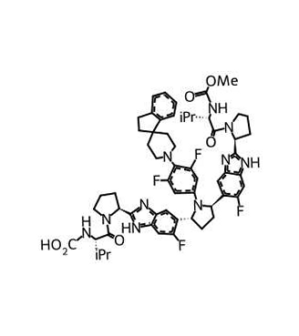 COC(=O)N[C@H](C(=O)N1CCC[C@H]1c1nc2cc([C@H]3CC[C@H](c4cc5nc([C@@H]6CCCN6C(=O)[C@@H](NC(=O)O)C(C)C)[nH]c5cc4F)N3c3cc(F)c(N4CCC5(CCc6ccccc65)CC4)c(F)c3)c(F)cc2[nH]1)C(C)C